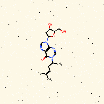 CC(C)=CCC(C)n1cnc2c(ncn2[C@H]2C[C@@H](O)[C@@H](CO)O2)c1=O